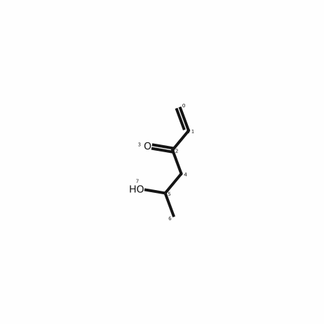 C=[C]C(=O)CC(C)O